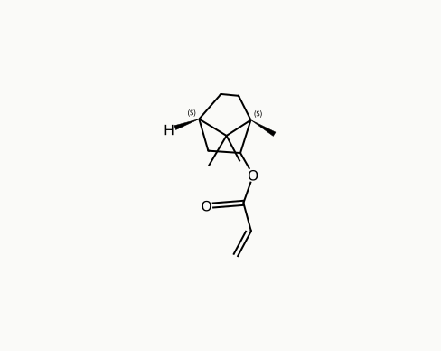 C=CC(=O)OC1C[C@@H]2CC[C@@]1(C)C2(C)C